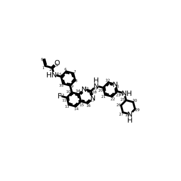 C=CC(=O)Nc1cccc(-c2c(F)ccc3cnc(Nc4ccc(NC5CCNCC5)nc4)nc23)c1